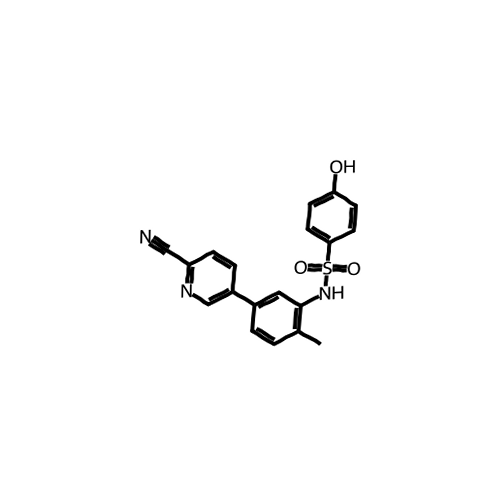 Cc1ccc(-c2ccc(C#N)nc2)cc1NS(=O)(=O)c1ccc(O)cc1